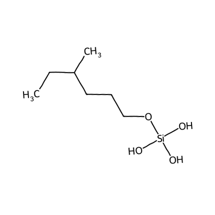 CCC(C)CCCO[Si](O)(O)O